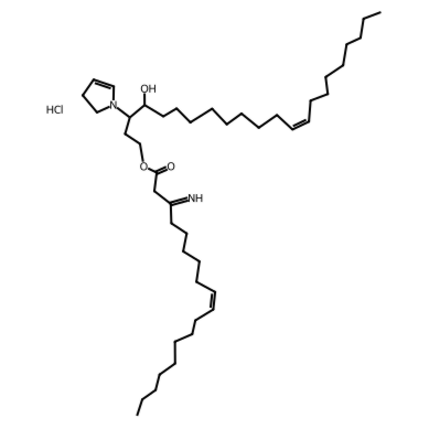 CCCCCCCC/C=C\CCCCCCCCC(O)C(CCOC(=O)CC(=N)CCCCC/C=C\CCCCCCCC)N1C=CCC1.Cl